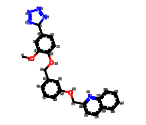 COc1cc([C]2N=NN=N2)ccc1OCc1cccc(OCc2ccc3ccccc3n2)c1